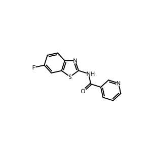 O=C(Nc1nc2ccc(F)cc2s1)c1cccnc1